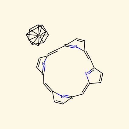 C1=CC2=NC1=CC1=NC(=CC3=NC(=CC4=NC(=C2)C=C4)C=C3)C=C1.[CH]12[CH]3[CH]4[CH]5[CH]1[Fe]23451678[CH]2[CH]1[CH]6[CH]7[CH]28